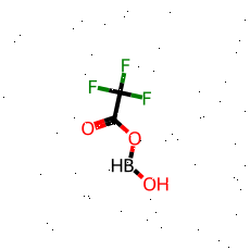 O=C(OBO)C(F)(F)F